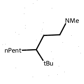 CCCCCC(CCNC)C(C)(C)C